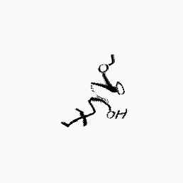 CCOC(=O)C[C@H](CO)CCC(C)(C)CC